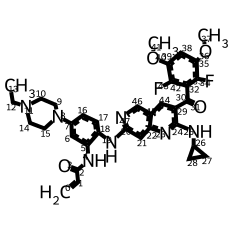 C=CC(=O)Nc1cc(N2CCN(CC)CC2)ccc1Nc1cc2nc(NC3CC3)c(C(=O)c3c(F)c(OC)cc(OC)c3F)cc2cn1